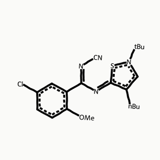 CCCCc1cn(C(C)(C)C)sc1=NC(=NC#N)c1cc(Cl)ccc1OC